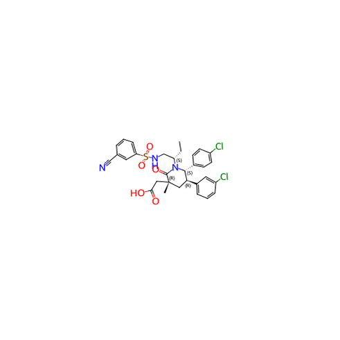 CC[C@@H](CNS(=O)(=O)c1cccc(C#N)c1)N1C(=O)[C@@](C)(CC(=O)O)C[C@H](c2cccc(Cl)c2)[C@H]1c1ccc(Cl)cc1